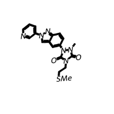 CSCCn1c(=O)n(C)n(-c2ccc3nn(-c4cccnc4)cc3c2)c1=O